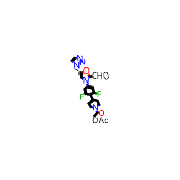 CC(=O)OCC(=O)N1CC=C(c2c(F)cc(N3C[C@H](Cn4ccnn4)OC3C=O)cc2F)CC1